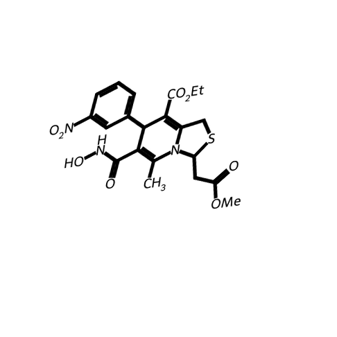 CCOC(=O)C1=C2CSC(CC(=O)OC)N2C(C)=C(C(=O)NO)C1c1cccc([N+](=O)[O-])c1